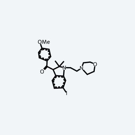 COc1ccc(C(=O)C2c3ccc(I)cc3N(CCN3CCOCC3)C2(C)C)cc1